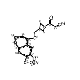 CC(C)Oc1cc2c(OCC3CN(C(=O)CC#N)C3)ccnc2cc1C=O